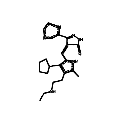 CCNCCc1c(C)[nH]c(C=C2C(=O)NN=C2c2cnccn2)c1C1CCCC1